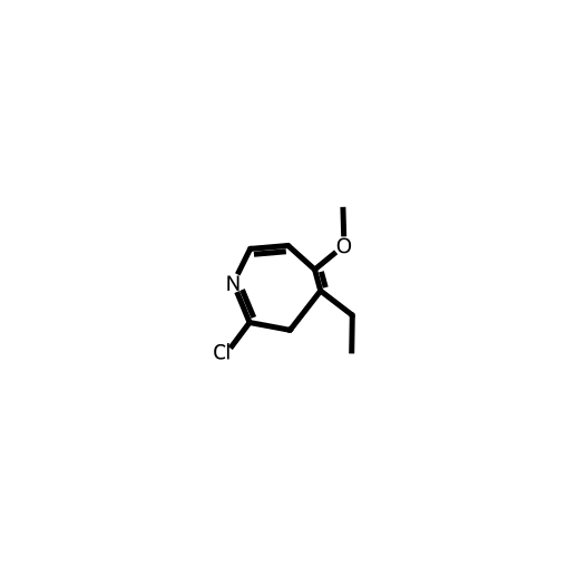 CCC1=C(OC)C=CN=C(Cl)C1